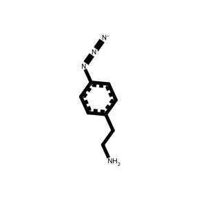 [N-]=[N+]=Nc1ccc(CCN)cc1